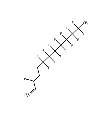 C=CC(S)CCC(F)(F)C(F)(F)C(F)(F)C(F)(F)C(F)(F)C(F)(F)C(F)(F)C(F)(F)F